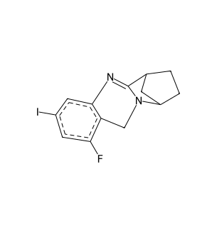 Fc1cc(I)cc2c1CN1C(=N2)C2CCC1C2